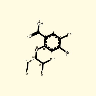 O=C(O)c1cc(F)c(Br)cc1O[C@@H](CF)C(F)F